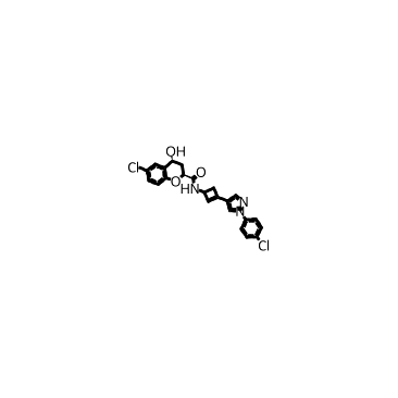 O=C(NC1C=C(c2cnn(-c3ccc(Cl)cc3)c2)C1)[C@@H]1C[C@@H](O)c2cc(Cl)ccc2O1